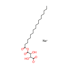 CCCCCCCCCCCCCCCCCC(=O)OC(=O)C(O)C(O)C(=O)[O-].[Na+]